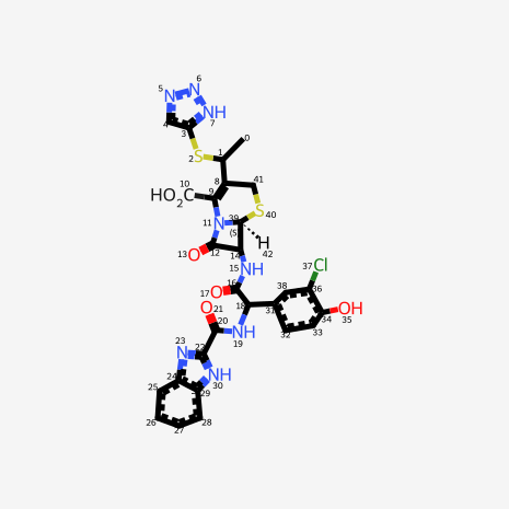 CC(Sc1cnn[nH]1)C1=C(C(=O)O)N2C(=O)C(NC(=O)C(NC(=O)c3nc4ccccc4[nH]3)c3ccc(O)c(Cl)c3)[C@@H]2SC1